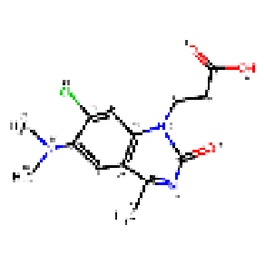 Cc1nc(=O)n(CCC(=O)O)c2cc(Cl)c(N(C)C)cc12